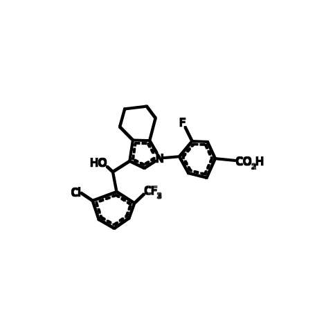 O=C(O)c1ccc(-n2cc(C(O)c3c(Cl)cccc3C(F)(F)F)c3c2CCCC3)c(F)c1